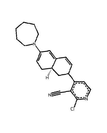 N#Cc1c(C2C=CC3=CC(N4CCCCCC4)=CC[C@@H]3C2)ccnc1Cl